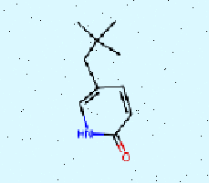 CC(C)(C)Cc1ccc(=O)[nH]c1